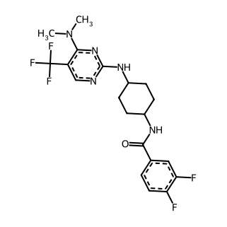 CN(C)c1nc(NC2CCC(NC(=O)c3ccc(F)c(F)c3)CC2)ncc1C(F)(F)F